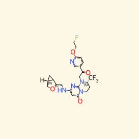 O=C(CN1c2nc(NC[C@H]3OC[C@@H]4CC43)cc(=O)n2CC[C@H]1C(F)(F)F)c1ccc(OCCF)nc1